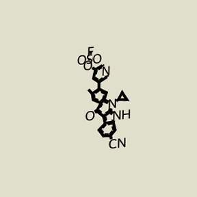 Cc1cc2c(=O)c3c4ccc(C#N)cc4[nH]c3n(C3CC3)c2cc1-c1cncc(OS(=O)(=O)F)c1